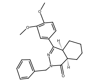 COc1ccc(C2=NN(Cc3ccccc3)C(=O)[C@@H]3CCCC[C@H]23)cc1OC